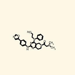 CN(C)CC(=O)N1CCc2nc(Nc3ccc(-c4cnco4)cc3)nc(N(CCO)c3ccccc3)c2C1